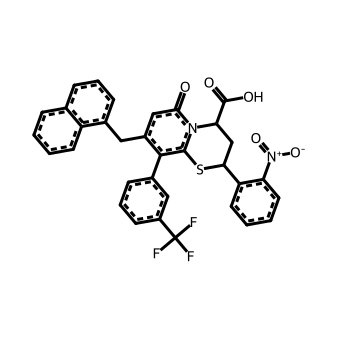 O=C(O)C1CC(c2ccccc2[N+](=O)[O-])Sc2c(-c3cccc(C(F)(F)F)c3)c(Cc3cccc4ccccc34)cc(=O)n21